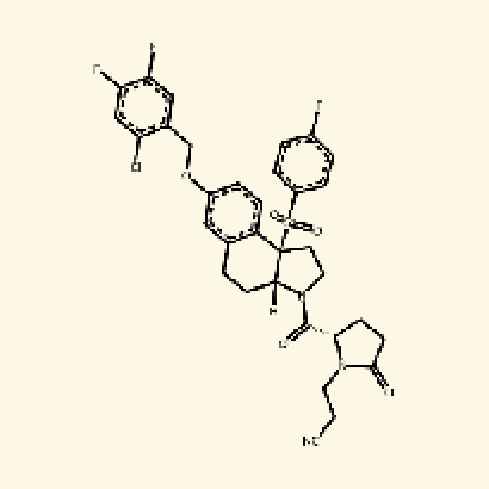 N#CCCN1C(=O)CC[C@H]1C(=O)N1CC[C@@]2(S(=O)(=O)c3ccc(F)cc3)c3ccc(OCc4cc(F)c(F)cc4Cl)cc3CC[C@@H]12